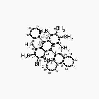 Bc1c(B)c(B)c2c(-c3cc4ccccc4c4ccccc34)c3c(B)c(B)c(B)c(B)c3c(-c3ccccc3)c2c1B